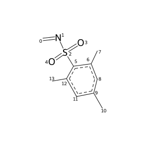 C=NS(=O)(=O)c1c(C)cc(C)cc1C